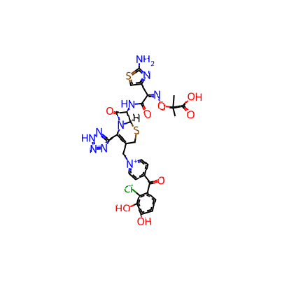 CC(C)(O/N=C(\C(=O)N[C@@H]1C(=O)N2C(c3nn[nH]n3)=C(C[n+]3ccc(C(=O)c4ccc(O)c(O)c4Cl)cc3)CS[C@H]12)c1csc(N)n1)C(=O)O